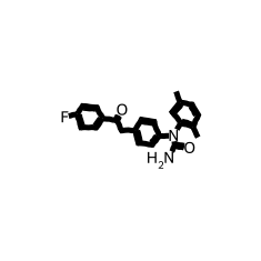 Cc1ccc(C)c(N(C(N)=O)c2ccc(CC(=O)c3ccc(F)cc3)cc2)c1